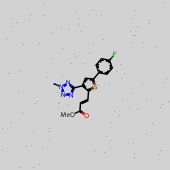 COC(=O)C=Cc1sc(-c2ccc(F)cc2)cc1-c1nnn(C)n1